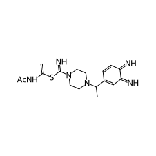 C=C(NC(C)=O)SC(=N)N1CCN(C(C)C2=CC(=N)C(=N)C=C2)CC1